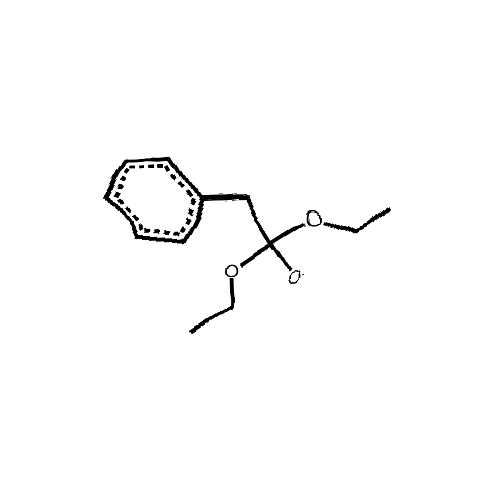 CCOC([O])(Cc1ccccc1)OCC